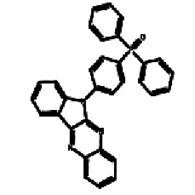 O=P(c1ccccc1)(c1ccccc1)c1ccc(-n2c3ccccc3c3nc4ccccc4nc32)cc1